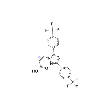 O=C(O)/C=C\n1nc(-c2ccc(C(F)(F)F)cc2)nc1-c1ccc(C(F)(F)F)cc1